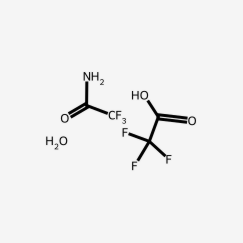 NC(=O)C(F)(F)F.O.O=C(O)C(F)(F)F